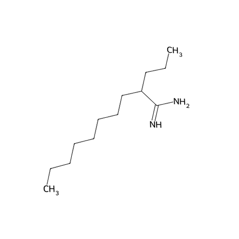 CCCCCCCCC(CCC)C(=N)N